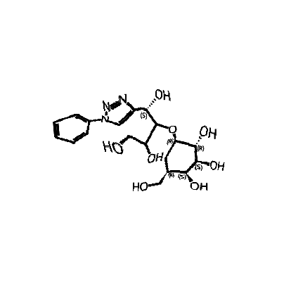 OCC(O)C(O[C@@H]1C[C@H](CO)[C@H](O)[C@H](O)[C@H]1O)[C@@H](O)c1cn(-c2ccccc2)nn1